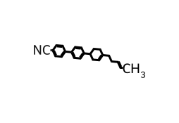 CC=CCCC1=CCC(c2ccc(-c3ccc(C#N)cc3)cc2)CC1